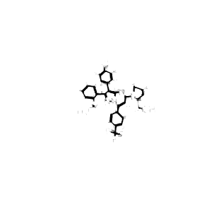 COc1ccccc1-c1nn2c(-c3ccc(C(F)(F)F)cc3)cc(N3CCC[C@H]3CO)nc2c1-c1ccc(Cl)cc1